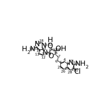 Nc1nc2cc(CC[C@H]3O[C@@H](n4ccc5c(N)ncnc54)[C@H](O)[C@@H]3O)ccc2cc1Cl